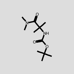 CN(C)C(=O)C(C)(C)NC(=O)OC(C)(C)C